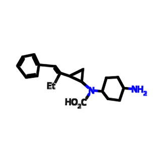 CC/C(=C\c1ccccc1)C1CC1N(C(=O)O)C1CCC(N)CC1